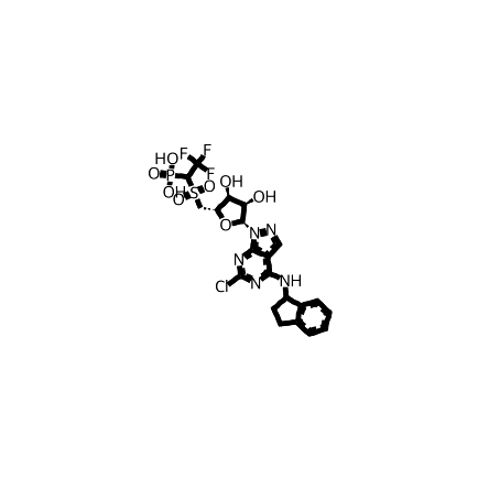 O=P(O)(O)C(C(F)(F)F)S(=O)(=O)C[C@H]1O[C@@H](n2ncc3c(NC4CCc5ccccc54)nc(Cl)nc32)[C@H](O)[C@@H]1O